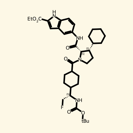 CCOC(=O)c1cc2cc(NC(=O)[C@@H]3[C@H](C4CCCCC4)CCN3C(=O)C3CCC([C@@H](CF)NC(=O)OC(C)(C)C)CC3)ccc2[nH]1